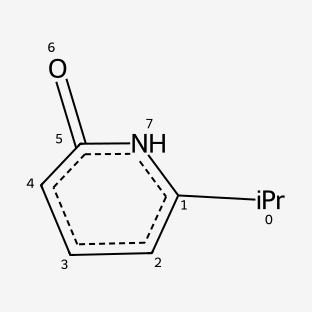 CC(C)c1cccc(=O)[nH]1